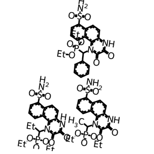 CCOP(=O)(OCC)C(C)n1c(=O)c(=O)[nH]c2ccc3c(S(N)(=O)=O)cccc3c21.CCOP(=O)(OCC)C(CC)n1c(=O)c(=O)[nH]c2ccc3c(S(N)(=O)=O)cccc3c21.CCOP(=O)(OCC)C(c1ccccc1)n1c(=O)c(=O)[nH]c2ccc3c(S(N)(=O)=O)cccc3c21